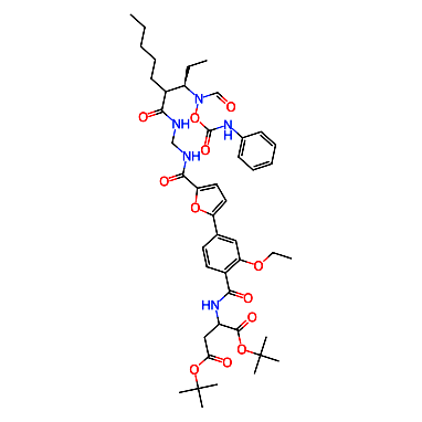 CCCCCC(C(=O)NCNC(=O)c1ccc(-c2ccc(C(=O)NC(CC(=O)OC(C)(C)C)C(=O)OC(C)(C)C)c(OCC)c2)o1)[C@@H](CC)N(C=O)OC(=O)Nc1ccccc1